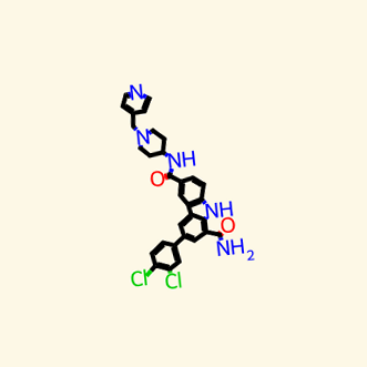 NC(=O)c1cc(-c2ccc(Cl)c(Cl)c2)cc2c1[nH]c1ccc(C(=O)NC3CCN(Cc4ccncc4)CC3)cc12